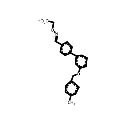 Cc1ccc(COc2cccc(-c3ccc(/C=N/OCC(=O)O)cc3)c2)cc1